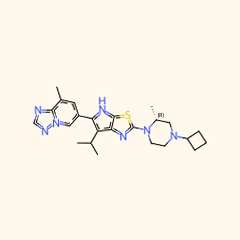 Cc1cc(-c2[nH]c3sc(N4CCN(C5CCC5)C[C@H]4C)nc3c2C(C)C)cn2ncnc12